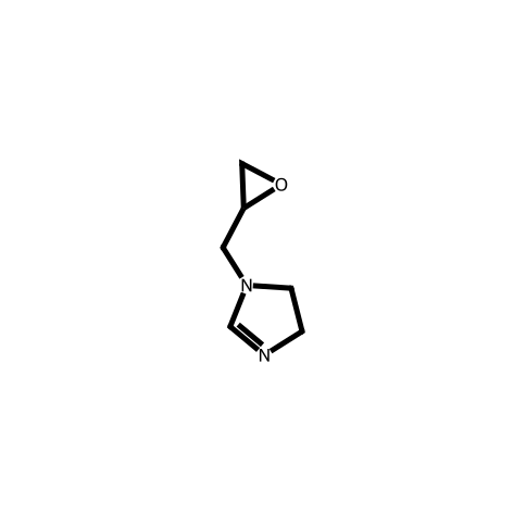 C1=NCCN1CC1CO1